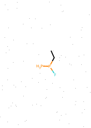 CCP(F)P